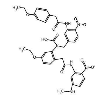 CCOc1ccc(CC(=O)Nc2cc(CN(C(=O)O)c3cc(OCC)ccc3CC(=O)Nc3cc(NC)ccc3[N+](=O)[O-])ccc2[N+](=O)[O-])cc1